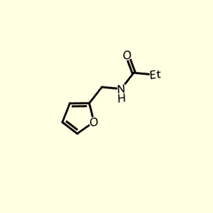 [CH2]CC(=O)NCc1ccco1